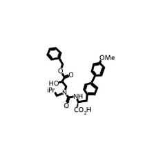 COc1ccc(-c2ccc(C[C@H](NC(=O)N(CC(C)C)CC(O)C(=O)OCc3ccccc3)C(=O)O)cc2)cc1